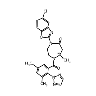 Cc1cc(C)c(-n2nccn2)c(C(=O)N2CCN(c3nc4cc(Cl)ccc4o3)C(=O)C[C@H]2C)c1